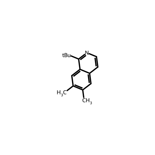 Cc1cc2ccnc(C(C)(C)C)c2cc1C